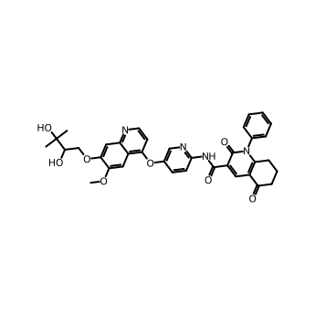 COc1cc2c(Oc3ccc(NC(=O)c4cc5c(n(-c6ccccc6)c4=O)CCCC5=O)nc3)ccnc2cc1OCC(O)C(C)(C)O